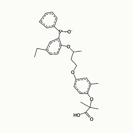 CCc1ccc(OC(C)CCOc2ccc(OC(C)(C)C(=O)O)c(C)c2)c([S+]([O-])c2ccccc2)c1